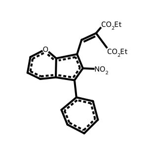 CCOC(=O)C(=Cc1c2occcc-2c(-c2ccccc2)c1[N+](=O)[O-])C(=O)OCC